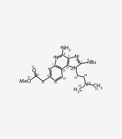 CCCCc1nc2c(N)nc3cc(CC(=O)OC)ccc3c2n1CCN(C)C